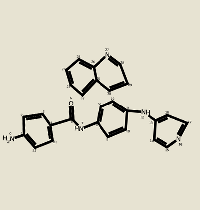 Nc1ccc(C(=O)Nc2ccc(Nc3ccncc3)cc2)cc1.c1ccc2ncccc2c1